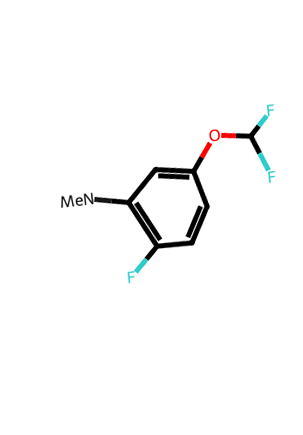 CNc1cc(OC(F)F)ccc1F